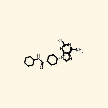 Nc1nc(Cl)nc2c1ncn2[C@H]1CC[C@@H](C(=O)NC2CCCCC2)CC1